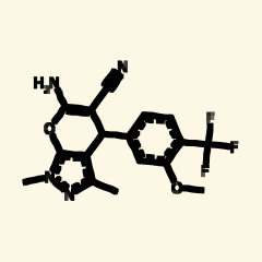 COc1cc(C2C(C#N)=C(N)Oc3c2c(C)nn3C)ccc1C(F)(F)F